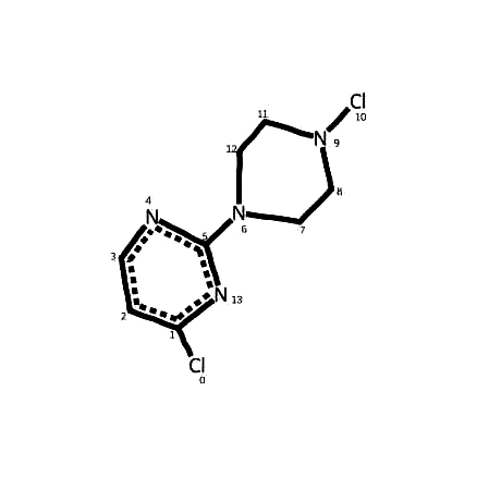 Clc1ccnc(N2CCN(Cl)CC2)n1